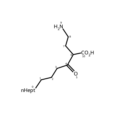 CCCCCCCCCCC(=O)C(CCN)C(=O)O